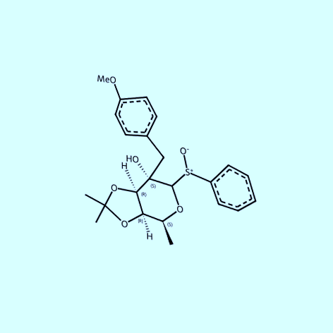 COc1ccc(C[C@@]2(O)C([S+]([O-])c3ccccc3)O[C@@H](C)[C@H]3OC(C)(C)O[C@H]32)cc1